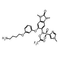 Cn1cnc(S(=O)(=O)N(OC(=O)C(F)(F)F)c2cc3c(cc2Oc2cccc(OCCCCN)c2)n(C)c(=O)n3C)c1